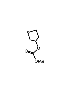 COC(=O)OC1CCSC1